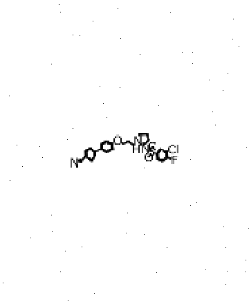 N#Cc1ccc(-c2ccc(OCCCN3CCCC3NS(=O)(=O)c3ccc(F)c(Cl)c3)cc2)cc1